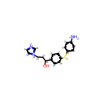 Nc1ccc(Sc2ccc(C(O)CCn3ccnc3)cc2)cc1